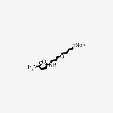 CCCCCCCCCCCCCOCCCNC(=O)/C=C\C(N)=O